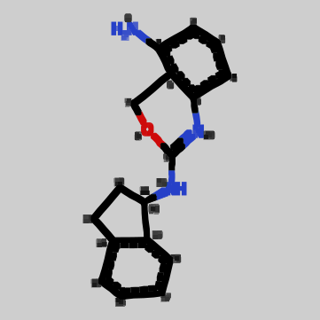 Nc1cccc2c1COC(N[C@@H]1CCc3ccccc31)=N2